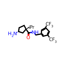 CC(C)[C@]1(C(=O)NCc2cc(C(F)(F)F)cc(C(F)(F)F)c2)CC[C@@H](N)C1